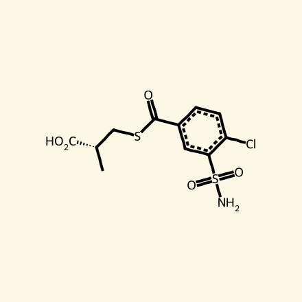 C[C@@H](CSC(=O)c1ccc(Cl)c(S(N)(=O)=O)c1)C(=O)O